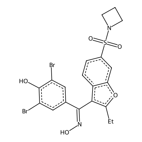 CCc1oc2cc(S(=O)(=O)N3CCC3)ccc2c1C(=NO)c1cc(Br)c(O)c(Br)c1